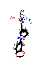 CC(N)(CO)CCc1ccc2oc(-c3ccc4c(c3)OCO4)nc2c1